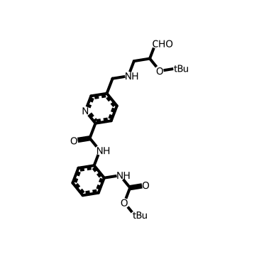 CC(C)(C)OC(=O)Nc1ccccc1NC(=O)c1ccc(CNCC(C=O)OC(C)(C)C)cn1